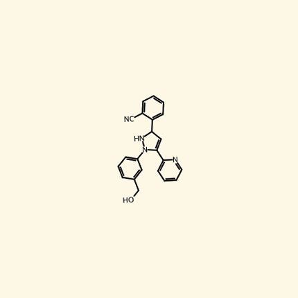 N#Cc1ccccc1C1C=C(c2ccccn2)N(c2cccc(CO)c2)N1